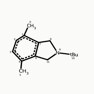 Cc1ccc(C)c2c1CN(C(C)(C)C)C2